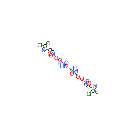 CN1Cc2c(Cl)cc(Cl)cc2C(c2ccc3c(c2)S(=O)(=O)N(CCOCCOCCNC(=O)NCCCCNC(=O)NCCOCCOCCN2C=Cc4ccc(C5CN(C)Cc6c(Cl)cc(Cl)cc65)cc4S2(=O)=O)C=C3)C1